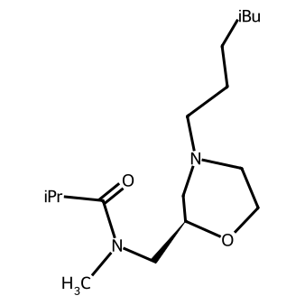 CCC(C)CCCN1CCO[C@@H](CN(C)C(=O)C(C)C)C1